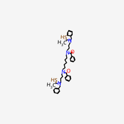 CC(S)N(CCCCN(CCCCCCCN(CCCCN(Cc1ccccc1)C(C)S)C(=O)c1ccccc1)C(=O)c1ccccc1)Cc1ccccc1